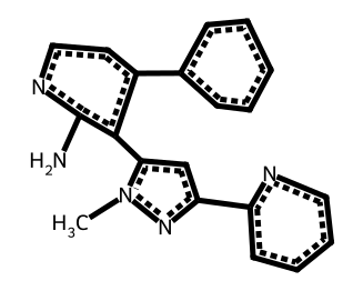 Cn1nc(-c2ccccn2)cc1-c1c(-c2ccccc2)ccnc1N